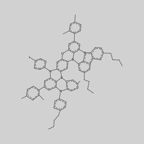 CCCCc1ccc(N2c3ccc(C)cc3B3c4cc5c(cc4N(c4ccc(I)cc4)c4cc(-c6ccc(C)cc6C)cc2c43)Oc2cc(-c3ccc(C)cc3C)cc3c2B5c2cc(CCCC)cc4c5cc(CCCC)ccc5n-3c24)cc1